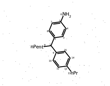 CCCCCC(c1ccc(N)cc1)c1ccc(CCC)cc1